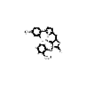 Cc1ccc(-c2ccc(C=C3SC(=S)N(Nc4ccccc4C(=O)O)C3=O)o2)c(F)c1